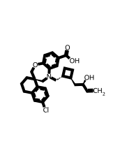 C=C[C@H](O)C[C@@H]1CC[C@H]1CN1C[C@@]2(CCCc3cc(Cl)ccc32)COc2ccc(C(=O)O)cc21